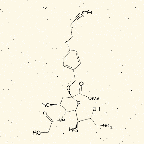 C#CCCOc1ccc(CO[C@]2(C(=O)OC)C[C@H](O)[C@@H](NC(=O)CO)[C@H]([C@H](O)[C@H](O)CN)O2)cc1